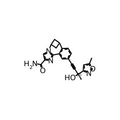 Cc1cc([C@](C)(O)C#Cc2ccc3c(c2)-c2nc(C(N)=O)cn2C2CC3C2)no1